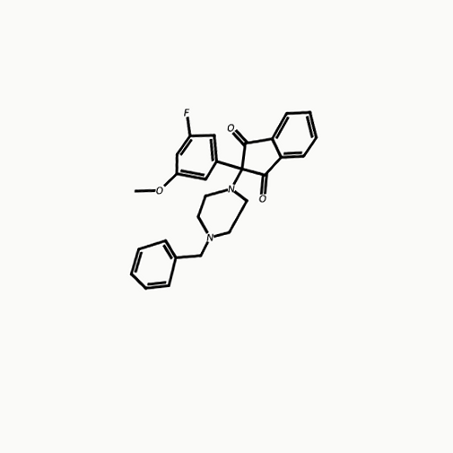 COc1cc(F)cc(C2(N3CCN(Cc4ccccc4)CC3)C(=O)c3ccccc3C2=O)c1